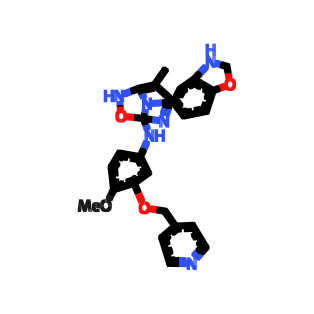 COc1ccc(NC23N=CC(C)=C(NO2)N3c2ccc3c(c2)NCO3)cc1OCc1ccncc1